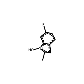 Cc1cc2ccc(F)cc2n1O